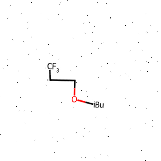 CCC(C)OC[CH]C(F)(F)F